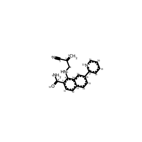 C=C(C#N)CNc1c(C(N)=O)ccc2ccc(-c3ccccn3)cc12